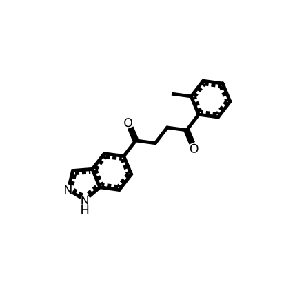 Cc1ccccc1C(=O)CCC(=O)c1ccc2[nH]ncc2c1